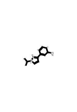 CC(C)n1ccc(C2=CC(Cl)CC=C2)n1